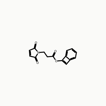 O=C(CCN1C(=O)C=CC1=O)OC1=Cc2ccccc21